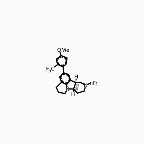 CCCN1CC[C@H]2[C@@H](C1)c1cc(-c3ccc(OC)cc3C(F)(F)F)cc3c1N2CCC3